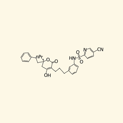 CCC[C@]1(CCc2ccccc2)CC(O)=C(CCCc2cccc(NS(=O)(=O)c3ccc(C#N)cn3)c2)C(=O)O1